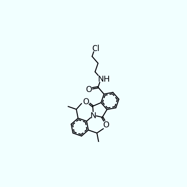 CC(C)c1cccc(C(C)C)c1N1C(=O)c2cccc(C(=O)NCCCCl)c2C1=O